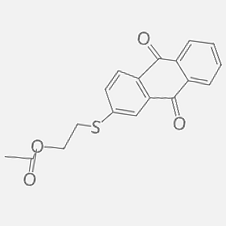 CC(=O)OCCSc1ccc2c(c1)C(=O)c1ccccc1C2=O